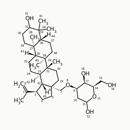 C=C(C)[C@@H]1CC[C@]2(CO[C@@H]3CC(O)O[C@H](CO)[C@@H]3O)CC[C@]3(C)[C@H](CC[C@@H]4[C@@]5(C)CCC(O)C(C)(C)[C@@H]5CC[C@]43C)[C@@H]12